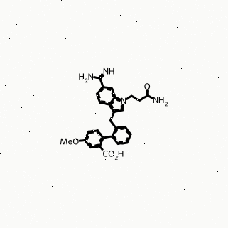 COc1ccc(-c2ccccc2Cc2cn(CCC(N)=O)c3cc(C(=N)N)ccc23)c(C(=O)O)c1